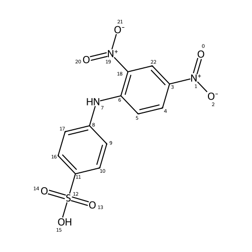 O=[N+]([O-])c1ccc(Nc2ccc(S(=O)(=O)O)cc2)c([N+](=O)[O-])c1